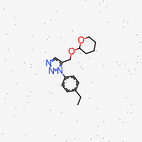 CCc1ccc(-n2nncc2COC2CCCCO2)cc1